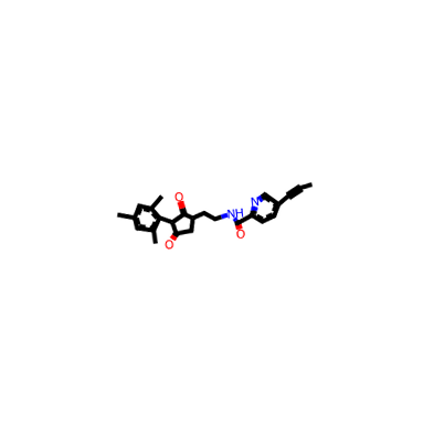 CC#Cc1ccc(C(=O)NCCC2CC(=O)C(c3c(C)cc(C)cc3C)C2=O)nc1